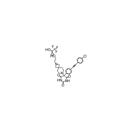 O=C(O)C(F)(F)F.O=C1NC(=O)C(c2ccc(C#Cc3ccc(Cl)cc3)cc2)(N2CCC3(CC2)CN(CCO)C3)C(=O)N1